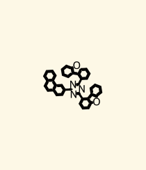 c1ccc2c(c1)ccc1ccc(-c3nc(-c4cccc5oc6ccccc6c45)nc(-c4cccc5oc6ccccc6c45)n3)cc12